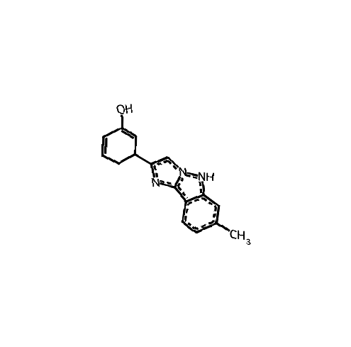 Cc1ccc2c(c1)[nH]n1cc(C3C=C(O)C=CC3)nc21